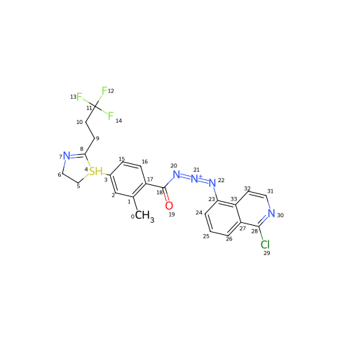 Cc1cc([SH]2CCN=C2CCC(F)(F)F)ccc1C(=O)N=[N+]=Nc1cccc2c(Cl)nccc12